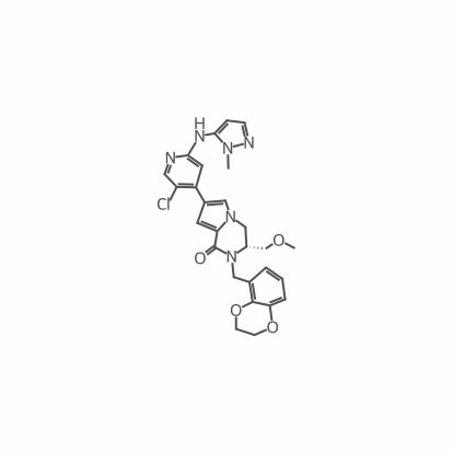 COC[C@H]1Cn2cc(-c3cc(Nc4ccnn4C)ncc3Cl)cc2C(=O)N1Cc1cccc2c1OCCO2